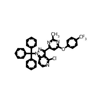 Cc1nc(Oc2ccc(C(F)(F)F)cc2)cc(-c2nn(C(c3ccccc3)(c3ccccc3)c3ccccc3)c3ccnc(Cl)c23)n1